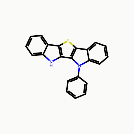 c1ccc(-n2c3ccccc3c3sc4c5ccccc5[nH]c4c32)cc1